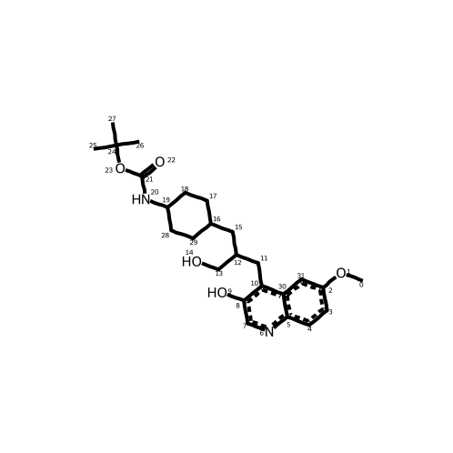 COc1ccc2ncc(O)c(CC(CO)CC3CCC(NC(=O)OC(C)(C)C)CC3)c2c1